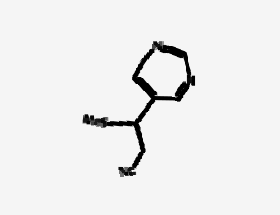 CSC(CC#N)c1cncnc1